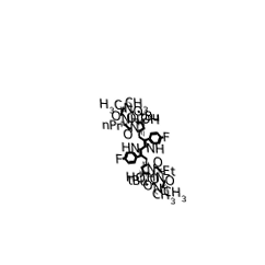 CCC[C@H](NC(=O)[C@H](C)N(C)C(=O)OC(C)(C)C)C(=O)N1C[C@@H](O)C[C@H]1Cc1c(-c2[nH]c3cc(F)ccc3c2C[C@@H]2C[C@H](O)CN2C(=O)[C@H](CC)NC(=O)[C@H](C)N(C)C(=O)OC(C)(C)C)[nH]c2cc(F)ccc12